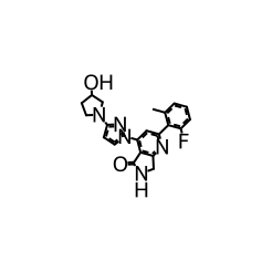 Cc1cccc(F)c1-c1cc(-n2ccc(N3CCC(O)C3)n2)c2c(n1)CNC2=O